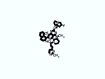 Cc1nccc(/C=C/C(O)N2CCC[C@@H](N(C)c3nc(OC[C@@]45CCCN4C[C@H](F)C5)nc4c(F)c(-c5cccc6cccc(Cl)c56)ncc34)C2)n1